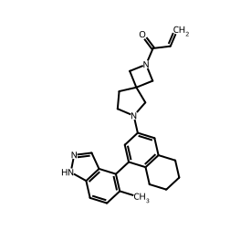 C=CC(=O)N1CC2(CCN(c3cc4c(c(-c5c(C)ccc6[nH]ncc56)c3)CCCC4)C2)C1